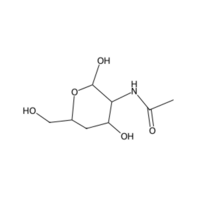 CC(=O)NC1C(O)CC(CO)OC1O